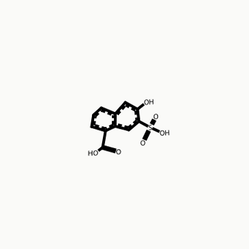 O=C(O)c1cccc2cc(O)c(S(=O)(=O)O)cc12